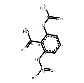 CC(=O)Oc1cccc(O[N+](=O)[O-])c1C(=O)O